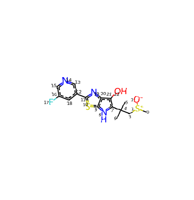 C[S+]([O-])CC(C)(C)c1[nH]c2sc(-c3cncc(F)c3)nc2c1O